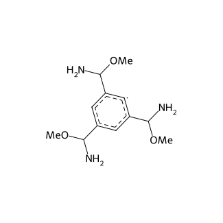 COC(N)c1[c]c(C(N)OC)cc(C(N)OC)c1